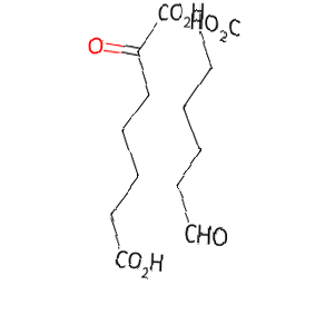 O=C(O)CCCCC(=O)C(=O)O.O=CCCCCC(=O)O